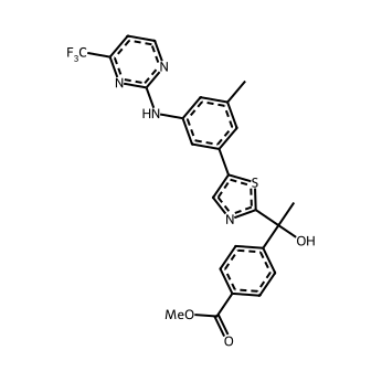 COC(=O)c1ccc(C(C)(O)c2ncc(-c3cc(C)cc(Nc4nccc(C(F)(F)F)n4)c3)s2)cc1